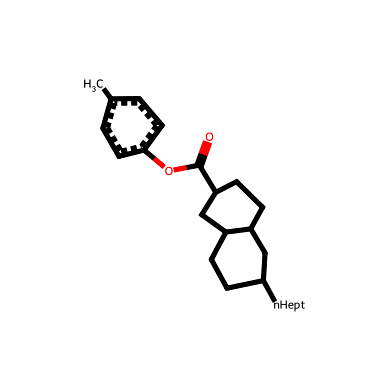 CCCCCCCC1CCC2CC(C(=O)Oc3ccc(C)cc3)CCC2C1